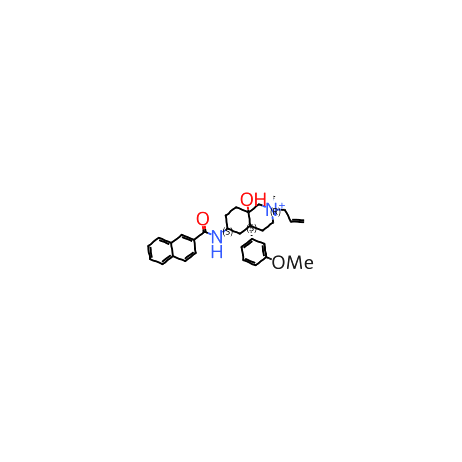 C=CC[N@@+]1(C)CC[C@@]2(c3cccc(OC)c3)C[C@@H](NC(=O)c3ccc4ccccc4c3)CCC2(O)C1